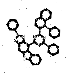 c1ccc(-c2nc(-c3ccc4ccccc4c3-c3ccccc3)nc(-c3c4nc(-c5ccccc5)sc4cc4oc5ccccc5c34)n2)cc1